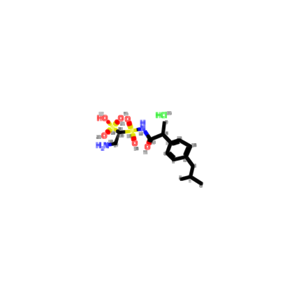 CC(C)Cc1ccc(C(C)C(=O)NS(=O)(=O)[C@@H](CN)S(=O)(=O)O)cc1.Cl